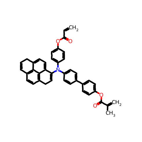 C=CC(=O)Oc1ccc(N(C2=CCc3ccc4c5c(ccc2c35)CC=C4)c2ccc(-c3ccc(OC(=O)C(=C)C)cc3)cc2)cc1